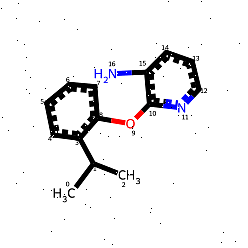 CC(C)c1ccccc1Oc1ncccc1N